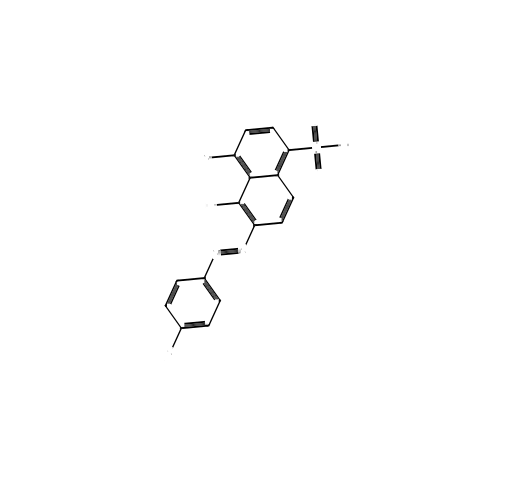 Nc1ccc(N=Nc2ccc3c(S(=O)(=O)O)ccc(N)c3c2O)cc1